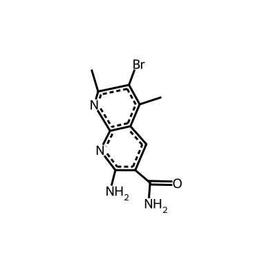 Cc1nc2nc(N)c(C(N)=O)cc2c(C)c1Br